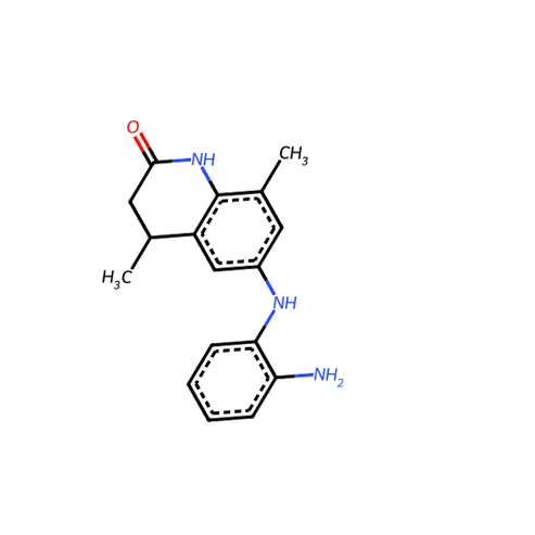 Cc1cc(Nc2ccccc2N)cc2c1NC(=O)CC2C